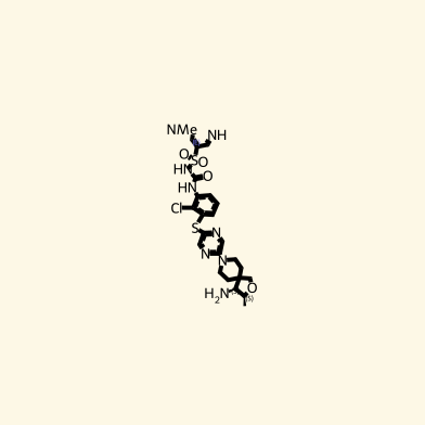 CN/C=C(\C=N)S(=O)(=O)NC(=O)Nc1cccc(Sc2cnc(N3CCC4(CC3)CO[C@@H](C)[C@H]4N)cn2)c1Cl